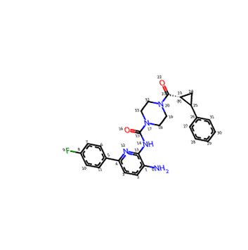 Nc1ccc(-c2ccc(F)cc2)nc1NC(=O)N1CCN(C(=O)[C@@H]2CC2c2ccccc2)CC1